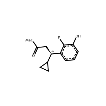 COC(=O)C[C@@H](c1cccc(O)c1F)C1CC1